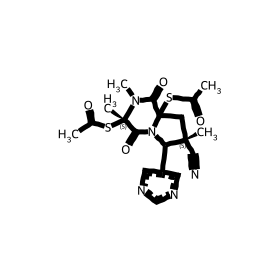 CC(=O)SC12C[C@](C)(C#N)C(c3cncnc3)N1C(=O)[C@](C)(SC(C)=O)N(C)C2=O